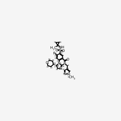 Cn1cc(CN2C(=O)c3cc(S(=O)(=O)NC4(C)CC4)c(F)cc3N3C2=NC[C@H]3C2CCOCC2)cn1